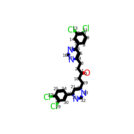 O=C(CCc1cc(-c2ccc(Cl)c(Cl)c2)ncn1)CCc1cc(-c2ccc(Cl)c(Cl)c2)ncn1